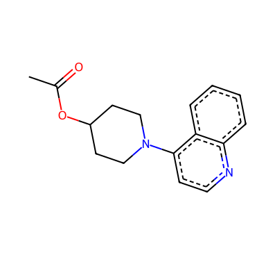 CC(=O)OC1CCN(c2ccnc3ccccc23)CC1